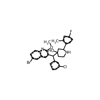 COc1nc2ccc(Br)cc2cc1C(c1cccc(Cl)c1)C1(O)CCNC(c2ccc(F)cc2C)C1